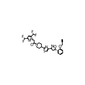 C#CCOc1ccccc1[C@@H]1CC(c2csc(C3CCN(C(=O)Cn4nc(C(F)F)cc4C(F)F)CC3)n2)=NO1